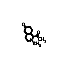 CC(=O)C1C2CCC(=O)CC2CCN1C